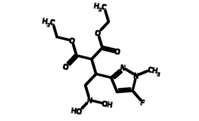 CCOC(=O)C(C(=O)OCC)C(CN(O)O)c1cc(F)n(C)n1